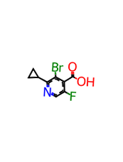 O=C(O)c1c(F)cnc(C2CC2)c1Br